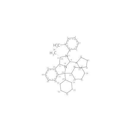 Cc1ccccc1N1C(C2CCCC2)N2C(c3ccccc3C2(C2CCCCC2)C2CCCCC2)[C@@H]1C